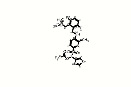 Cc1nc(S(=O)(=O)N(OC(=O)C(F)(F)F)c2cscn2)ccc1NCc1c(F)ccc(F)c1CN(C)C(C)(C)C